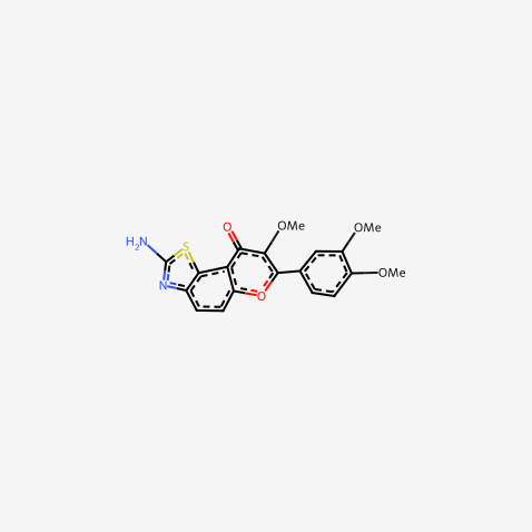 COc1ccc(-c2oc3ccc4nc(N)sc4c3c(=O)c2OC)cc1OC